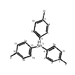 Cc1cc[c]([SnH]([c]2ccc(C)cc2)[c]2ccc(C)cc2)cc1